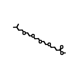 COC(=O)CCCOCCOCCOCCOCCC(C)C